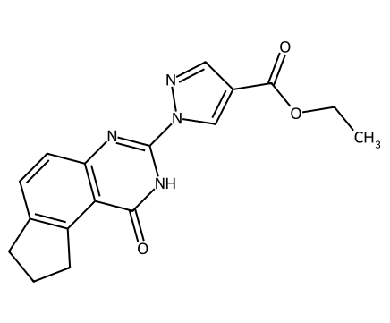 CCOC(=O)c1cnn(-c2nc3ccc4c(c3c(=O)[nH]2)CCC4)c1